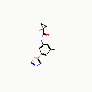 O=C(Nc1cc(-c2cnco2)cc(C(F)(F)F)c1)C1(O)CC1